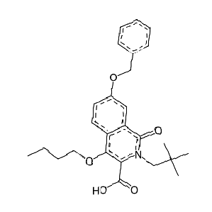 CCCCOc1c(C(=O)O)n(CC(C)(C)C)c(=O)c2cc(OCc3ccccc3)ccc12